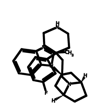 Cc1nc2ccccc2n1[C@H]1C[C@H]2CC[C@@H](C1)N2CCC1(c2cccc(F)c2)CCNCC1